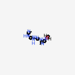 Cc1cc(Nc2ccc3[nH]c(-c4ccc(Nc5cc(C)nc6ccc(N7C[C@H]8CC[C@@H](C7)O8)cc56)cn4)nc3c2)ccn1